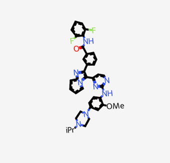 COc1cc(N2CCN(C(C)C)CC2)ccc1Nc1nccc(-c2c(-c3cccc(C(=O)Nc4c(F)cccc4F)c3)nc3ccccn23)n1